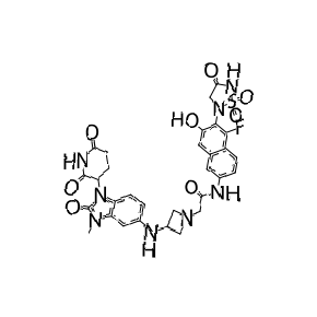 Cn1c(=O)n(C2CCC(=O)NC2=O)c2ccc(NC3CN(CC(=O)Nc4ccc5c(F)c(N6CC(=O)NS6(=O)=O)c(O)cc5c4)C3)cc21